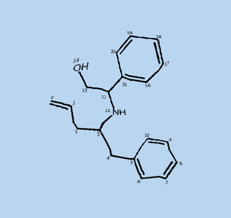 C=CCC(Cc1ccccc1)NC(CO)c1ccccc1